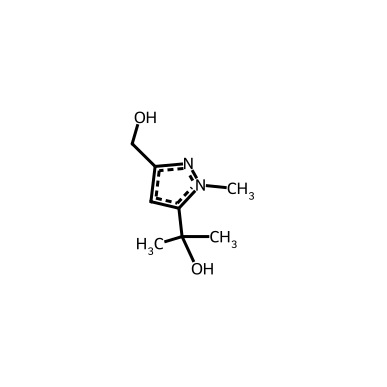 Cn1nc(CO)cc1C(C)(C)O